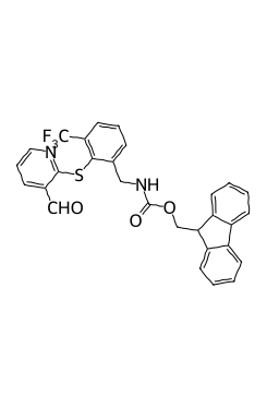 O=Cc1cccnc1Sc1c(CNC(=O)OCC2c3ccccc3-c3ccccc32)cccc1C(F)(F)F